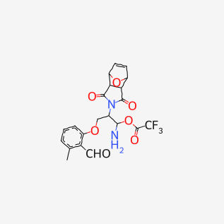 Cc1cccc(OCC(C(N)OC(=O)C(F)(F)F)N2C(=O)C3C4C=CC(O4)C3C2=O)c1C=O